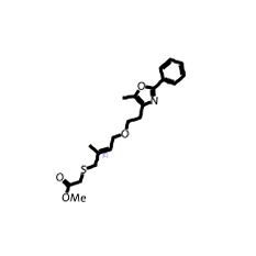 COC(=O)CSC/C(C)=C/COCCc1nc(-c2ccccc2)oc1C